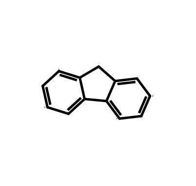 [c]1c[c]c2c(c1)Cc1[c]c[c]cc1-2